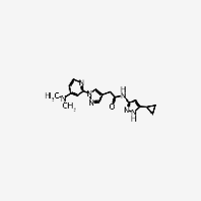 CN(C)c1ccnc(-n2cc(CC(=O)Nc3cc(C4CC4)[nH]n3)cn2)c1